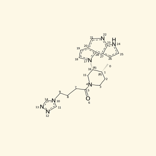 C[C@@H]1CCN(C(=O)CCCn2cnnc2)C[C@@H]1n1ccc2cnc3[nH]ccc3c21